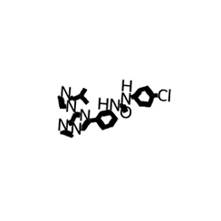 CC(C)c1nccn1-c1nc(-c2cccc(NC(=O)Nc3ccc(Cl)cc3)c2)cn2ccnc12